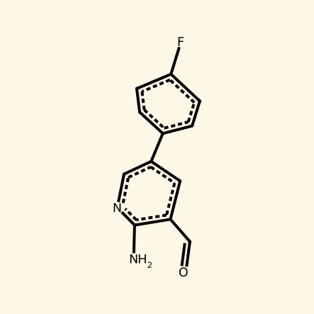 Nc1ncc(-c2ccc(F)cc2)cc1C=O